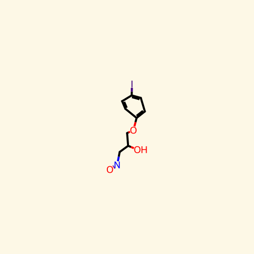 O=NCC(O)COc1ccc(I)cc1